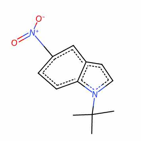 CC(C)(C)n1ccc2cc([N+](=O)[O-])ccc21